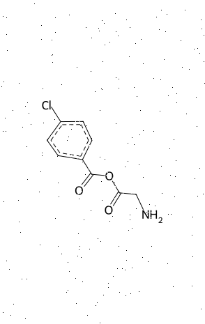 NCC(=O)OC(=O)c1ccc(Cl)cc1